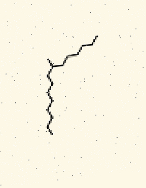 CCCCC[CH]CCC(C)CCCCCC